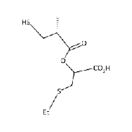 CCSCC(OC(=O)[C@@H](C)CS)C(=O)O